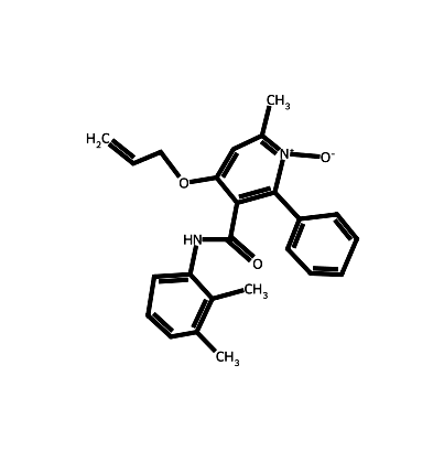 C=CCOc1cc(C)[n+]([O-])c(-c2ccccc2)c1C(=O)Nc1cccc(C)c1C